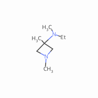 CCN(C)C1(C)CN(C)C1